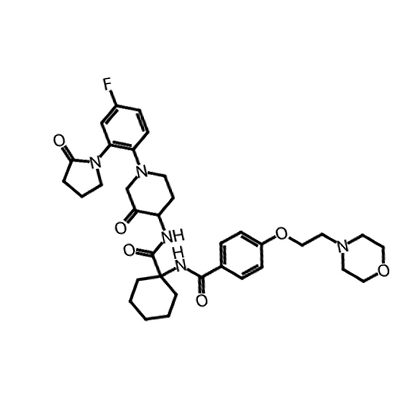 O=C(NC1(C(=O)NC2CCN(c3ccc(F)cc3N3CCCC3=O)CC2=O)CCCCC1)c1ccc(OCCN2CCOCC2)cc1